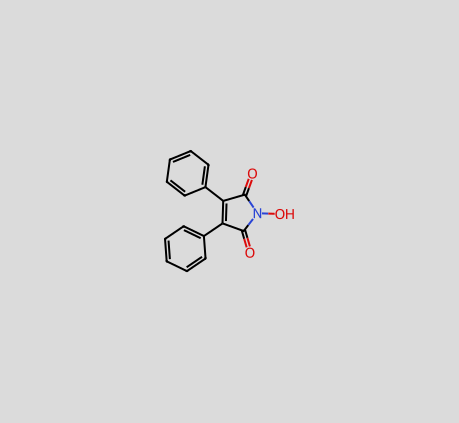 O=C1C(c2ccccc2)=C(c2ccccc2)C(=O)N1O